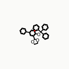 c1ccc(-c2ccc(OC(c3ccccc3)(c3ccccc3)c3ccccc3)c(C3OCCO3)c2)cc1